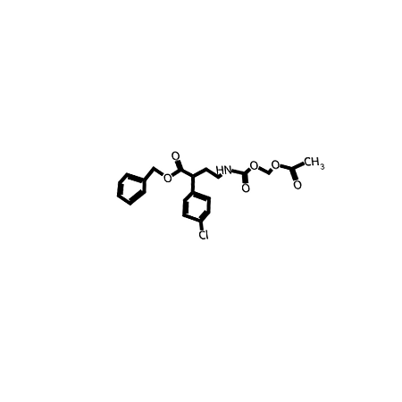 CC(=O)OCOC(=O)NCCC(C(=O)OCc1ccccc1)c1ccc(Cl)cc1